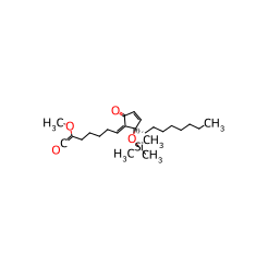 CCCCCCCC[C@@]1(O[Si](C)(C)C)C=CC(=O)C1=CCCCCC(=C=O)OC